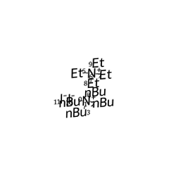 CCCC[N+](CCCC)(CCCC)CCCC.CC[N+](CC)(CC)CC.[I-].[I-]